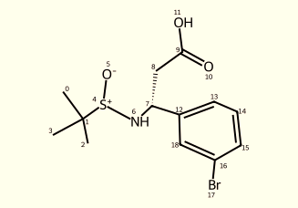 CC(C)(C)[S+]([O-])N[C@H](CC(=O)O)c1cccc(Br)c1